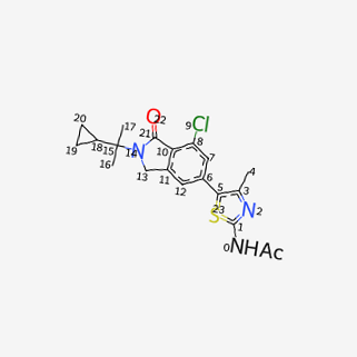 CC(=O)Nc1nc(C)c(-c2cc(Cl)c3c(c2)CN(C(C)(C)C2CC2)C3=O)s1